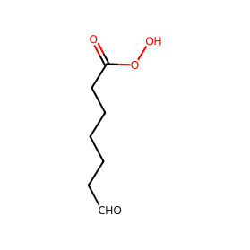 O=CCCCCCC(=O)OO